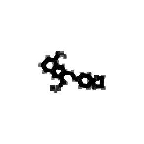 COc1cc2c(cc1CCN1CCC3(CC1)OCCO3)N(C)CCC2